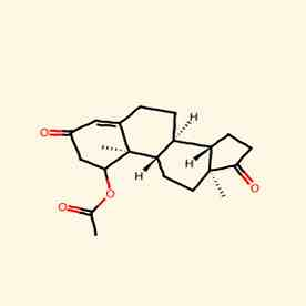 CC(=O)OC1CC(=O)C=C2CC[C@H]3[C@@H]4CCC(=O)[C@@]4(C)CC[C@@H]3[C@]21C